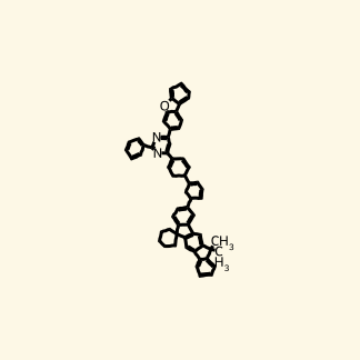 CC1(C)c2ccccc2-c2cc3c(cc21)-c1cc(C2C=CC=C(C4C=CC(c5cc(-c6ccc7c(c6)oc6ccccc67)nc(-c6ccccc6)n5)=CC4)C2)ccc1C31CCCCC1